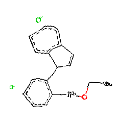 CC(C)(C)C[O][Ti+2][c]1ccccc1C1C=Cc2ccccc21.[Cl-].[Cl-]